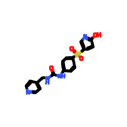 O=C(NCc1ccncc1)Nc1ccc(S(=O)(=O)c2ccc(O)nc2)cc1